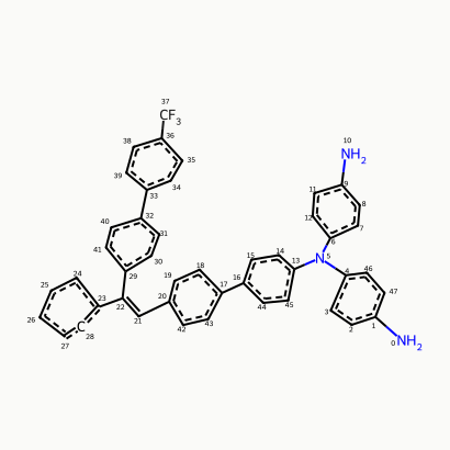 Nc1ccc(N(c2ccc(N)cc2)c2ccc(-c3ccc(C=C(c4ccccc4)c4ccc(-c5ccc(C(F)(F)F)cc5)cc4)cc3)cc2)cc1